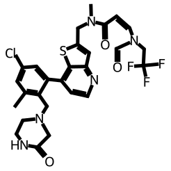 Cc1cc(Cl)cc(-c2ccnc3cc(CN(C)C(=O)/C=C\N(C=O)CC(F)(F)F)sc23)c1CN1CCNC(=O)C1